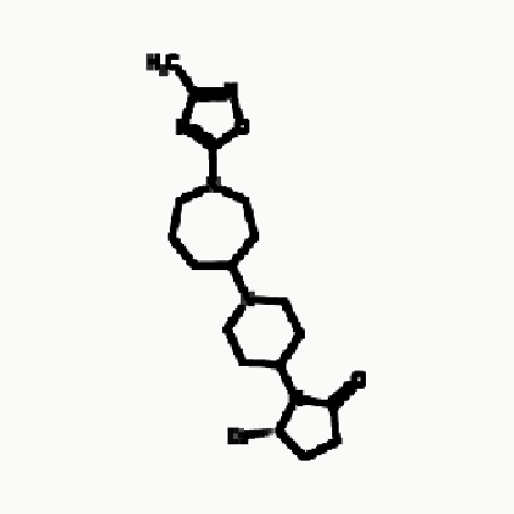 CC[C@H]1CCC(=O)N1C1CCN(C2CCCN(c3nc(C)no3)CC2)CC1